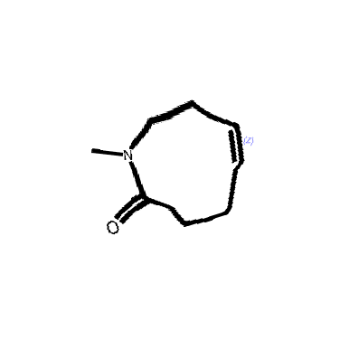 CN1CC/C=C\CCC1=O